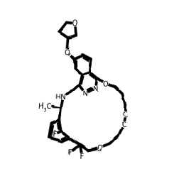 C[C@H]1Nc2nnc(c3ccc(OC4CCOC4)cc23)OCCCCCCCOCC(F)(F)c2cccc1c2F